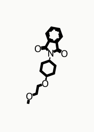 COCCO[C@H]1CC[C@H](N2C(=O)c3ccccc3C2=O)CC1